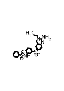 CCCN1Cc2cc([S+]([O-])c3cccc(NS(=O)(=O)c4ccccc4)c3)ccc2N=C1N